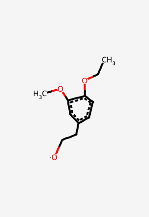 CCOc1ccc(CC[O])cc1OC